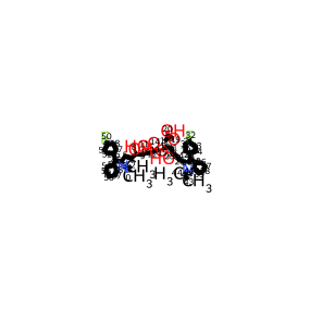 CC(C)n1c(/C=C/[C@@H](O)C[C@@H](O)CC(=O)O[C@H](CC(=O)O)C[C@@H](O)/C=C/c2c(-c3ccc(F)cc3)c3ccccc3n2C(C)C)c(-c2ccc(F)cc2)c2ccccc21